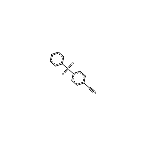 N#Cc1ccc(S(=O)(=O)c2ccccc2)cc1